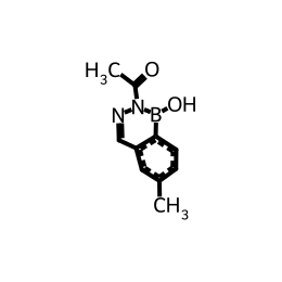 CC(=O)N1N=Cc2cc(C)ccc2B1O